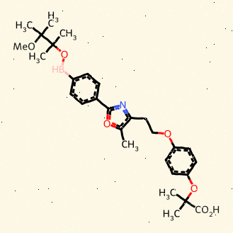 COC(C)(C)C(C)(C)OBc1ccc(-c2nc(CCOc3ccc(OC(C)(C)C(=O)O)cc3)c(C)o2)cc1